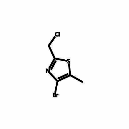 Cc1sc(CCl)nc1Br